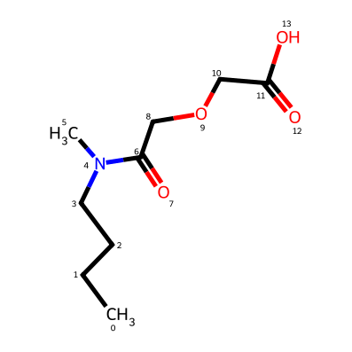 CCCCN(C)C(=O)COCC(=O)O